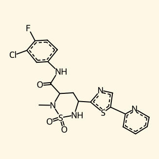 CN1C(C(=O)Nc2ccc(F)c(Cl)c2)CC(c2ncc(-c3ccccn3)s2)NS1(=O)=O